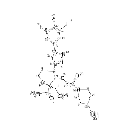 NC(=O)C1(CO)OCCC(n2cc(-c3cc(F)c(F)c(F)c3)nn2)C1OCC(=O)N1CCC(O)CC1